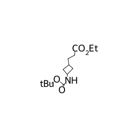 CCOC(=O)CCC1CC(NC(=O)OC(C)(C)C)C1